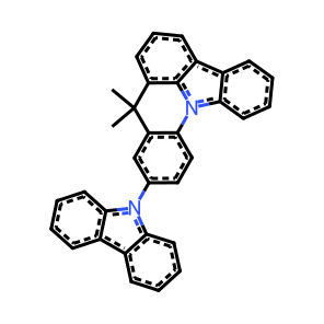 CC1(C)c2cc(-n3c4ccccc4c4ccccc43)ccc2-n2c3ccccc3c3cccc1c32